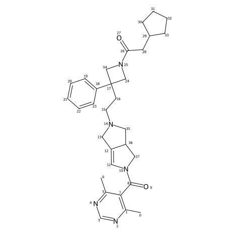 Cc1ncnc(C)c1C(=O)N1C=C2CN(CCC3(c4ccccc4)CN(C(=O)CC4CCCC4)C3)CC2C1